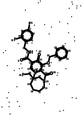 O=C(NCc1ccc(F)cc1F)c1cn2c(c(OCc3ccccc3)c1=O)C(=O)N1CCCC[C@@]2(CF)C1